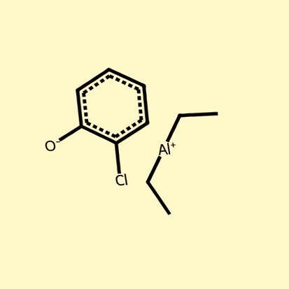 C[CH2][Al+][CH2]C.[O-]c1ccccc1Cl